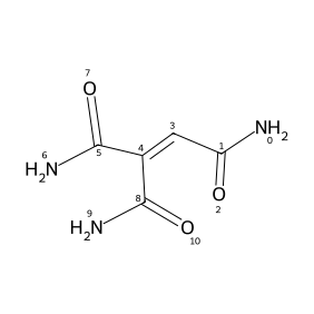 NC(=O)C=C(C(N)=O)C(N)=O